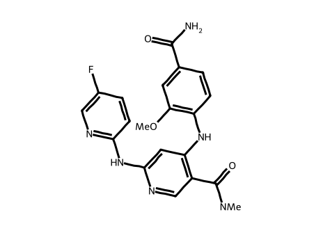 CNC(=O)c1cnc(Nc2ccc(F)cn2)cc1Nc1ccc(C(N)=O)cc1OC